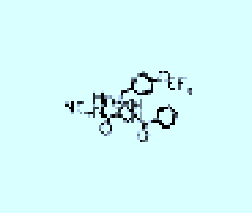 N#CCNC(=O)C(CNC(=O)c1ccccc1)S(=O)(=O)Cc1ccc(OC(F)(F)F)cc1